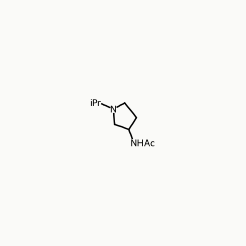 CC(=O)NC1CCN(C(C)C)C1